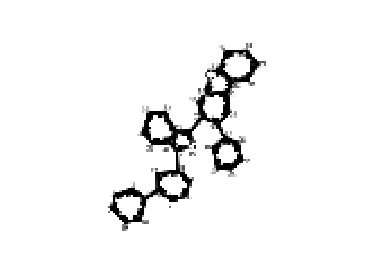 c1ccc(-c2cccc(-c3sc(-c4cc5oc6ccccc6c5cc4-c4ccccc4)c4ccccc34)c2)cc1